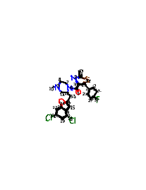 Cc1nc(C(=O)N2CCN(C)CC2Cc2cc3c(Cl)cc(Cl)cc3o2)c(-c2ccc(F)cc2)s1